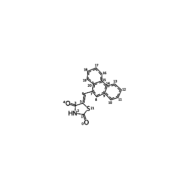 O=C1NC(=O)/C(=C/c2cc3ccccc3c3ccccc23)S1